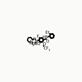 CCc1ccccc1NC(=O)c1cc(F)c(N(C)/N=C2/CCCCN2C=O)cc1OCC(F)(F)F